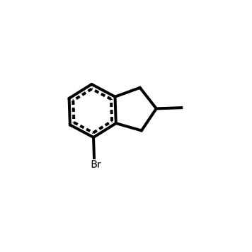 CC1Cc2cccc(Br)c2C1